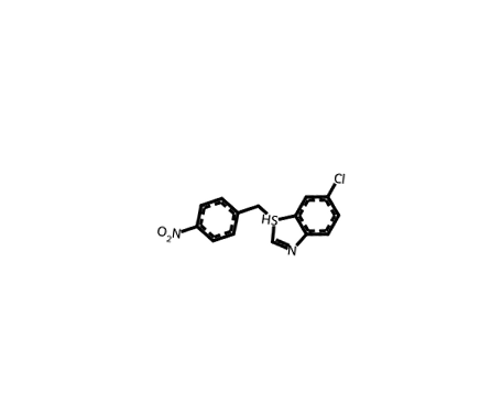 O=[N+]([O-])c1ccc(C[SH]2C=Nc3ccc(Cl)cc32)cc1